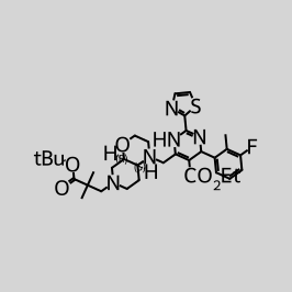 CCOC(=O)C1=C(CN2CCO[C@@H]3CN(CC(C)(C)C(=O)OC(C)(C)C)CC[C@@H]32)NC(c2nccs2)=NC1c1cccc(F)c1C